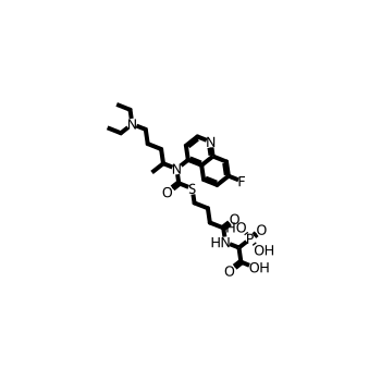 CCN(CC)CCCC(C)N(C(=O)SCCCC(=O)NC(C(=O)O)P(=O)(O)O)c1ccnc2cc(F)ccc12